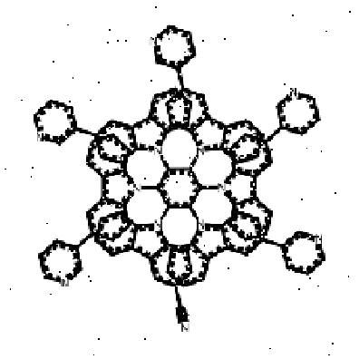 N#Cc1ccc2c(c1)c1ccccc1n2-c1c(-n2c3ccccc3c3cc(-c4cccnc4)ccc32)c(-n2c3ccccc3c3cc(-c4cccnc4)ccc32)c(-n2c3ccccc3c3cc(-c4cccnc4)ccc32)c(-n2c3ccccc3c3cc(-c4cccnc4)ccc32)c1-n1c2ccccc2c2cc(-c3cccnc3)ccc21